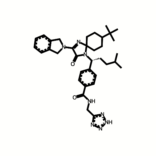 CC(C)CC[C@H](c1ccc(C(=O)NCc2nn[nH]n2)cc1)N1C(=O)C(N2Cc3ccccc3C2)=NC12CCC(C(C)(C)C)CC2